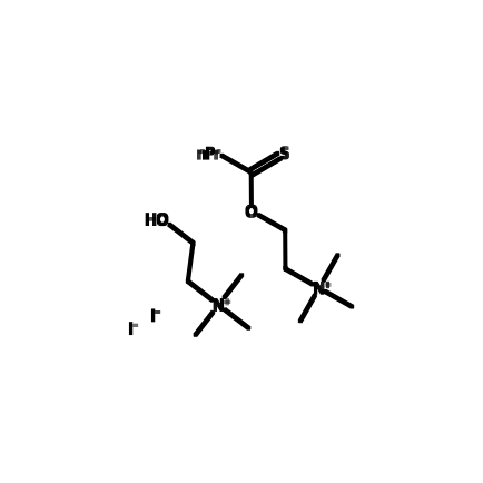 CCCC(=S)OCC[N+](C)(C)C.C[N+](C)(C)CCO.[I-].[I-]